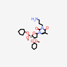 COC(OC1CCCCC1)[C@@H]1O[C@@H](n2cc(C)c(=O)n(CCCN)c2=O)C[C@@H]1OC1(OC)CCCCC1